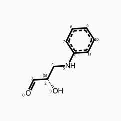 O=[C][C@@H](O)CNc1ccccc1